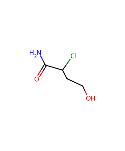 NC(=O)C(Cl)CCO